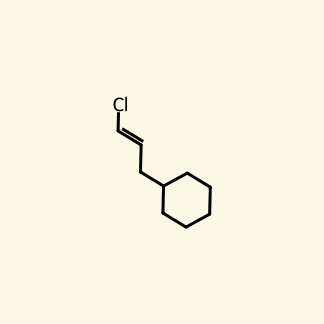 Cl/C=C/CC1CCCCC1